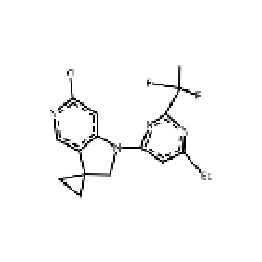 CCc1cc(N2CC3(CC3)c3cnc(Cl)cc32)nc(C(C)(F)F)n1